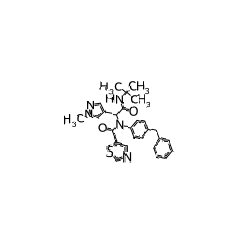 Cn1cc(C(C(=O)NC(C)(C)C)N(C(=O)c2cncs2)c2ccc(Cc3ccccc3)cc2)cn1